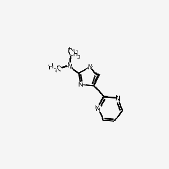 CN(C)C1=NC(c2ncccn2)=C[N]1